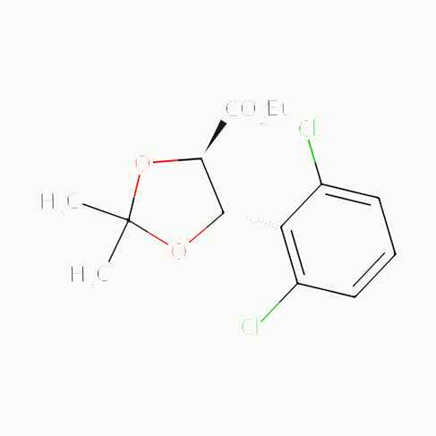 CCOC(=O)[C@@H]1OC(C)(C)O[C@H]1c1c(Cl)cccc1Cl